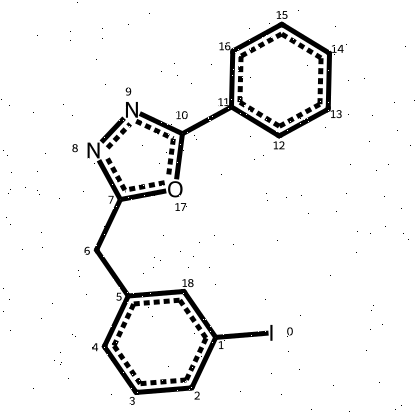 Ic1cccc(Cc2nnc(-c3ccccc3)o2)c1